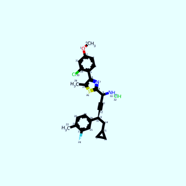 COc1ccc(-c2nc(C(N)C#C[C@@H](CC3CC3)c3ccc(C)c(F)c3)sc2C)c(Cl)c1.Cl